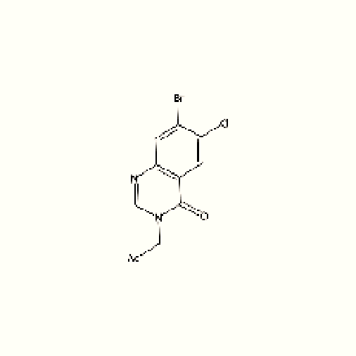 CC(=O)Cn1cnc2cc(Br)c(Cl)cc2c1=O